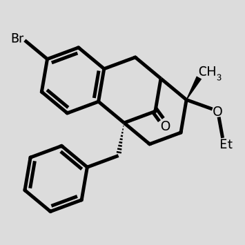 CCO[C@]1(C)CC[C@]2(Cc3ccccc3)C(=O)C1Cc1cc(Br)ccc12